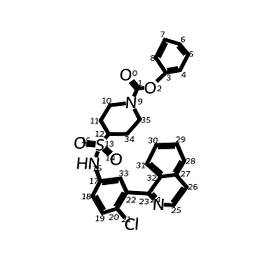 O=C(Oc1ccccc1)N1CCC(S(=O)(=O)Nc2ccc(Cl)c(-c3nccc4ccccc34)c2)CC1